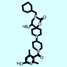 CCCCC1CN(CC2CCCCC2)C(=O)OC12CCN(C1CCN(C(=O)c3c(C)cc(O)nc3C)CC1)CC2